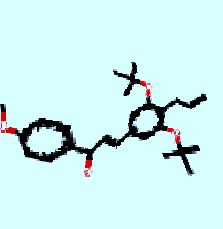 C=CCc1c(OC(C)(C)C)cc(C=CC(=O)c2ccc(OC)cc2)cc1OC(C)(C)C